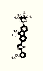 CN[C@H]1CCC[C@@H]1c1ncc(-c2ccc3c(c2)C(C)(C)c2cc(B4OC(C)(C)C(C)(C)O4)ccc2-3)[nH]1